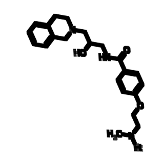 CCN(C)CCOc1ccc(C(=O)NCC(O)CN2CCc3ccccc3C2)cc1